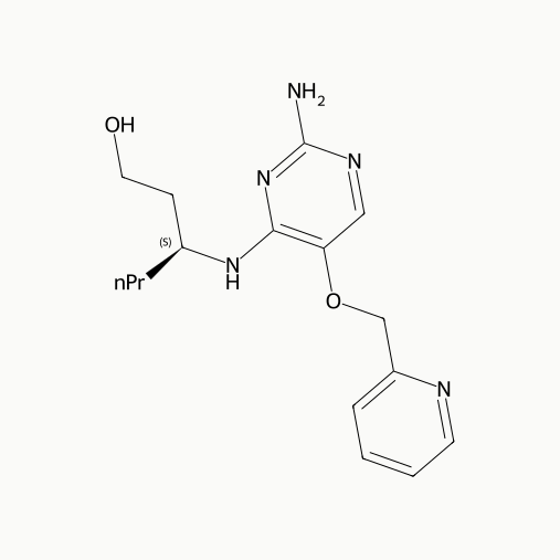 CCC[C@@H](CCO)Nc1nc(N)ncc1OCc1ccccn1